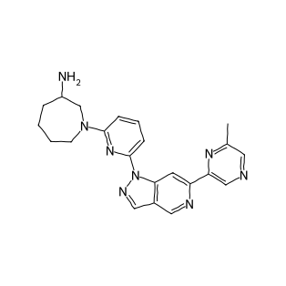 Cc1cncc(-c2cc3c(cn2)cnn3-c2cccc(N3CCCCC(N)C3)n2)n1